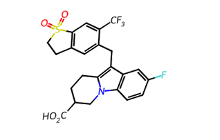 O=C(O)C1CCc2c(Cc3cc4c(cc3C(F)(F)F)S(=O)(=O)CC4)c3cc(F)ccc3n2C1